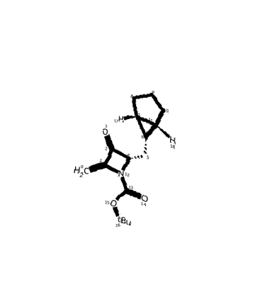 C=C1C(=O)[C@H](C[C@@H]2[C@@H]3CCC[C@@H]32)N1C(=O)OC(C)(C)C